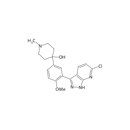 COc1ccc(C2(O)CCN(C)CC2)cc1-c1n[nH]c2nc(Cl)ccc12